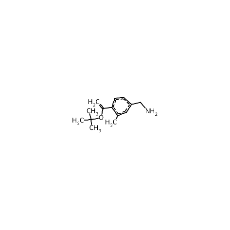 C=C(OC(C)(C)C)c1ccc(CN)cc1C